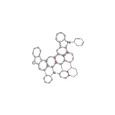 C1=CCC(n2c3ccccc3c3cc(-c4cccc(N(c5ccccc5-c5ccc6c(c5)oc5ccccc56)c5ccccc5-c5cccc6cccc(C7CCCCC7)c56)c4)ccc32)C=C1